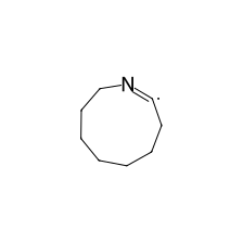 [C]1=N\CCCCCCC/1